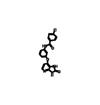 O=C(Nc1cccc(Oc2ccnc3[nH]c(=O)[nH]c23)c1)c1ccc(Cl)cc1